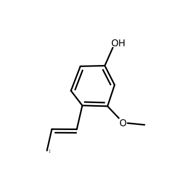 [CH]C=Cc1ccc(O)cc1OC